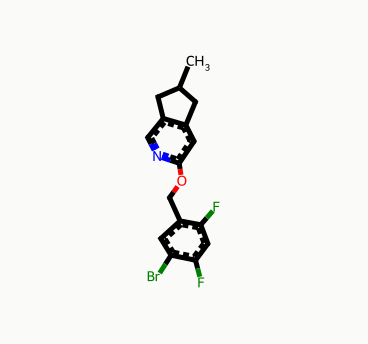 CC1Cc2cnc(OCc3cc(Br)c(F)cc3F)cc2C1